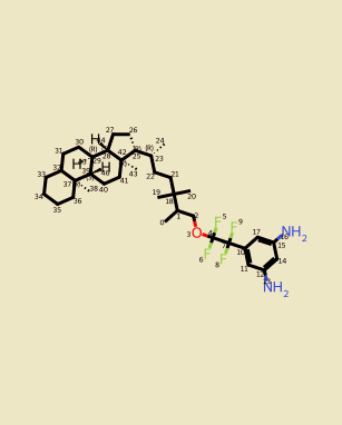 CC(COC(F)(F)C(F)(F)c1cc(N)cc(N)c1)C(C)(C)CC[C@@H](C)[C@H]1CC[C@H]2[C@@H]3CCC4CCCC[C@]4(C)[C@H]3CC[C@]12C